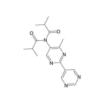 Cc1nc(-c2cncnc2)ncc1N(C(=O)C(C)C)C(=O)C(C)C